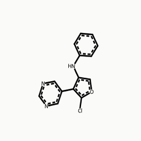 Clc1occ(Nc2ccccc2)c1-c1cncnc1